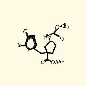 COC(=O)[C@@]1(Cc2ccc(F)c(Br)c2)CC[C@H](NC(=O)OC(C)(C)C)C1